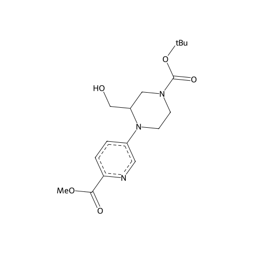 COC(=O)c1ccc(N2CCN(C(=O)OC(C)(C)C)CC2CO)cn1